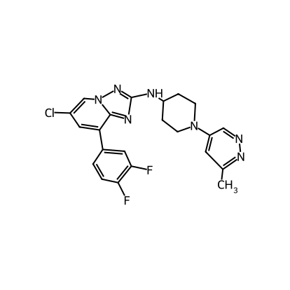 Cc1cc(N2CCC(Nc3nc4c(-c5ccc(F)c(F)c5)cc(Cl)cn4n3)CC2)cnn1